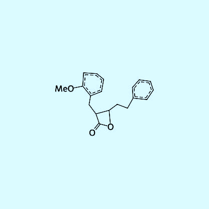 COc1ccccc1CC1C(=O)OC1CCc1ccccc1